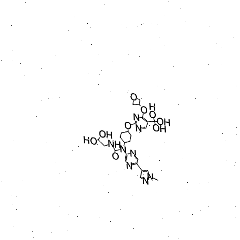 Cn1cc(-c2cnc(N(C(=O)NCC(O)O)C3CCC(Oc4ncc(C(O)(O)O)c(OC5COC5)n4)CC3)cn2)cn1